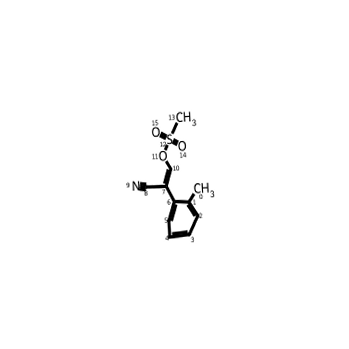 Cc1ccccc1C(C#N)=COS(C)(=O)=O